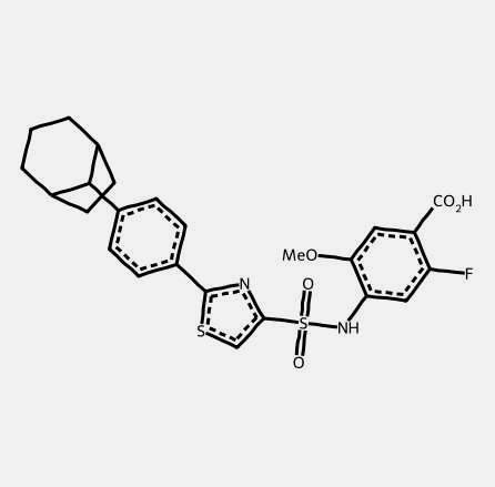 COc1cc(C(=O)O)c(F)cc1NS(=O)(=O)c1csc(-c2ccc(C3C4CCCC3CC4)cc2)n1